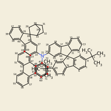 CC(C)(C)c1ccc2c(c1)C1(c3ccccc3-c3ccc(N(c4ccc5c(c4)C4(CC6CCC4C6)c4ccccc4-5)c4ccccc4-c4ccccc4-c4ccccc4-c4ccccc4)cc31)c1cc(C(C)(C)C)ccc1-2